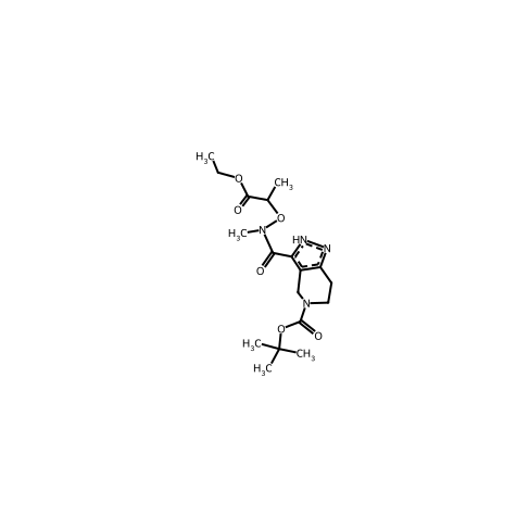 CCOC(=O)C(C)ON(C)C(=O)c1[nH]nc2c1CN(C(=O)OC(C)(C)C)CC2